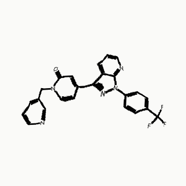 O=c1cc(-c2nn(-c3ccc(C(F)(F)F)cc3)c3ncccc23)ccn1Cc1cccnc1